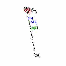 CCCCCCCCCCCCCCCCCCC(N)CNCCC[Si](OC)(OC)OC.Cl.Cl